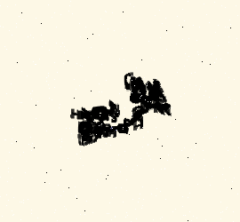 Cc1ncsc1-c1ccc([C@H](C)NC(=O)[C@@H]2CCCN2C(=O)[C@@H](NC(=O)/C=C/c2cccc(OCCNC(=O)C[C@@H]3N=C(c4ccc(Cl)cc4)c4c(sc(C)c4C)-n4c(C)nnc43)c2)C(C)(C)C)cc1